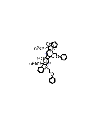 CCCCCC1(C)C(/C=C2\C(=O)C(/C=C3/N(CCOc4ccccc4)c4ccccc4C3(C)CCCCC)=C2O)=[N+](CCOc2ccccc2)c2ccccc21